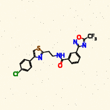 O=C(NCCc1nc(-c2ccc(Cl)cc2)cs1)c1cccc(-c2noc(C(F)(F)F)n2)c1